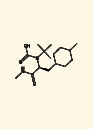 CNC(=O)[C@H](CC1CCC(C)CC1)N(C(=O)O)C(C)(C)C